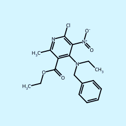 CCOC(=O)c1c(C)nc(Cl)c([N+](=O)[O-])c1N(CC)Cc1ccccc1